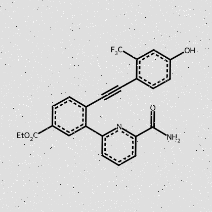 CCOC(=O)c1ccc(C#Cc2ccc(O)cc2C(F)(F)F)c(-c2cccc(C(N)=O)n2)c1